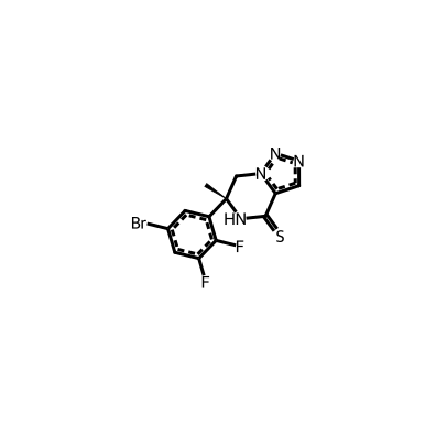 C[C@@]1(c2cc(Br)cc(F)c2F)Cn2nncc2C(=S)N1